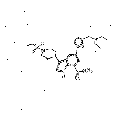 CCN(CC)Cc1ccc(-c2cc(C(N)=O)c3[nH]cc(C4CCN(S(=O)(=O)CC)CC4)c3c2)s1